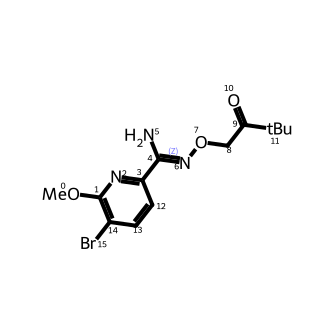 COc1nc(/C(N)=N/OCC(=O)C(C)(C)C)ccc1Br